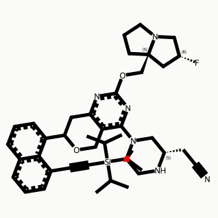 CC(C)[Si](C#Cc1cccc2cccc(C3Cc4nc(OC[C@@]56CCCN5C[C@H](F)C6)nc(N5CCN[C@@H](CC#N)C5)c4CO3)c12)(C(C)C)C(C)C